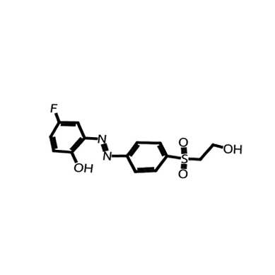 O=S(=O)(CCO)c1ccc(/N=N/c2cc(F)ccc2O)cc1